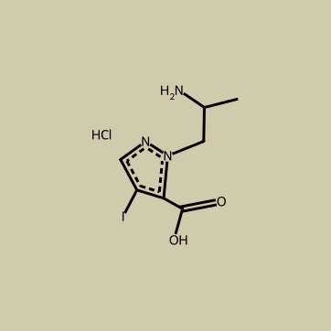 CC(N)Cn1ncc(I)c1C(=O)O.Cl